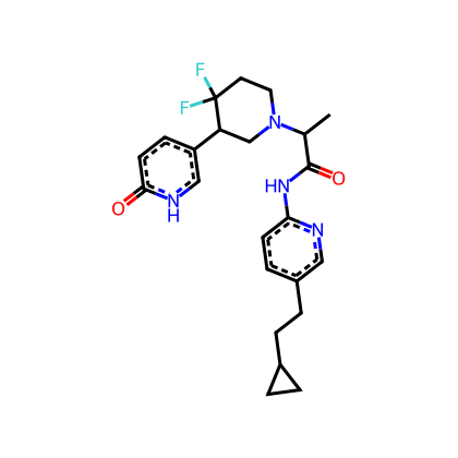 CC(C(=O)Nc1ccc(CCC2CC2)cn1)N1CCC(F)(F)C(c2ccc(=O)[nH]c2)C1